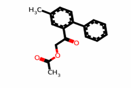 CC(=O)OCC(=O)c1cc(C)ccc1-c1ccccc1